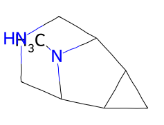 CN1C2CNCC1C1CC12